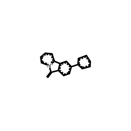 C=C1c2ccc(-c3ccccc3)cc2-c2cccc[n+]21